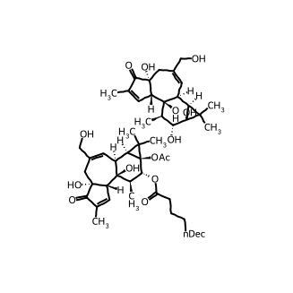 CC1=C[C@H]2[C@@]3(O)[C@H](C)[C@@H](O)[C@]4(O)[C@@H]([C@@H]3C=C(CO)C[C@]2(O)C1=O)C4(C)C.CCCCCCCCCCCCCC(=O)O[C@@H]1[C@@H](C)[C@@]2(O)[C@@H](C=C(CO)C[C@]3(O)C(=O)C(C)=C[C@@H]23)[C@H]2C(C)(C)[C@]12OC(C)=O